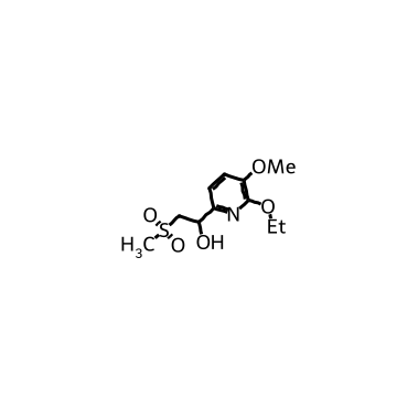 CCOc1nc(C(O)CS(C)(=O)=O)ccc1OC